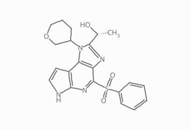 C[C@@H](O)c1nc2c(S(=O)(=O)c3ccccc3)nc3[nH]ccc3c2n1C1CCCOC1